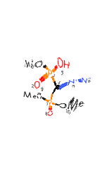 COP(=O)(O)C(=[N+]=[N-])P(=O)(OC)OC